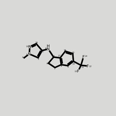 Cn1cc(NC2CCc3cc(C(F)(F)F)ccc32)cn1